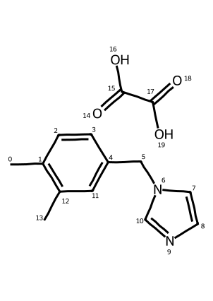 Cc1ccc(Cn2ccnc2)cc1C.O=C(O)C(=O)O